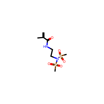 C=C(C)C(=O)NCCN(S(C)(=O)=O)S(C)(=O)=O